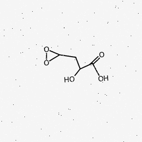 O=C(O)C(O)CC1OO1